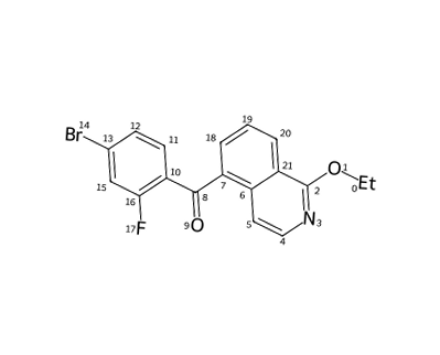 CCOc1nccc2c(C(=O)c3ccc(Br)cc3F)cccc12